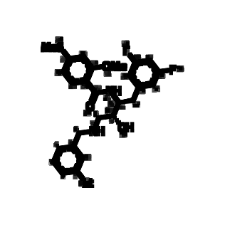 CCc1cccc(CNC[C@@H](O)[C@H](Cc2cc(F)cc(F)c2)NC(=O)c2ccc(SC)cc2OC)c1